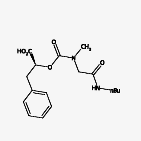 CCCCNC(=O)CN(C)C(=O)O[C@@H](Cc1ccccc1)C(=O)O